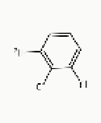 [2H]c1[c]ccc(Cl)c1Cl